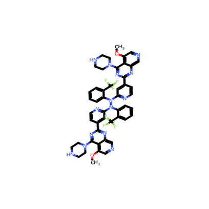 COc1cncc2nc(-c3ccnc(N(c4ccccc4C(F)(F)F)N(c4cc(-c5nc(N6CCNCC6)c6c(OC)cncc6n5)ccn4)c4ccccc4C(F)(F)F)c3)nc(N3CCNCC3)c12